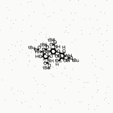 CC(C)(C)OC(=O)NC[C@H]1O[C@H](OC2C(O)[C@H](O[C@H]3OC(CO)[C@@H](O)[C@H](NC(=O)OC(C)(C)C)C3O)[C@H](NC(=O)OC(C)(C)C)C[C@@H]2NC(=O)OC(C)(C)C)C(NC(=O)OC(C)(C)C)C[C@@H]1O